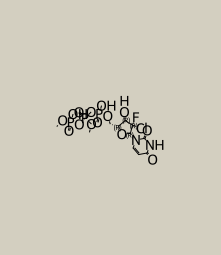 COP(=O)(O)OP(=O)(OC)OP(=O)(O)OC[C@H]1O[C@@H](n2ccc(=O)[nH]c2=O)[C@](F)(Cl)[C@@H]1O